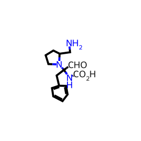 NCC1CCCN1C(C=O)(Cc1ccccc1)NC(=O)O